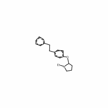 CCN1CCCC1Oc1ccc(CCc2ccccc2)cc1